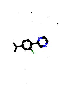 CC(C)c1ccc(-c2cnccn2)c(Cl)c1